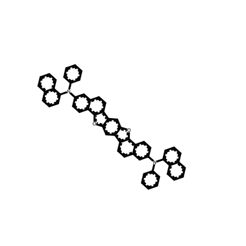 c1ccc(N(c2ccc3c(ccc4c5cc6oc7c8ccc(N(c9ccccc9)c9cccc%10ccccc9%10)cc8ccc7c6cc5oc34)c2)c2cccc3ccccc23)cc1